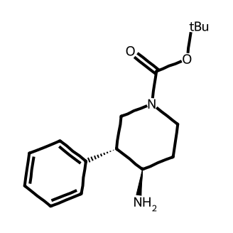 CC(C)(C)OC(=O)N1CC[C@@H](N)[C@H](c2ccccc2)C1